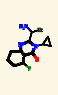 CCC(N)c1nc2cccc(F)c2c(=O)n1C1CC1